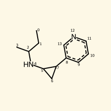 CCC(C)NC1C[C]1c1cccnc1